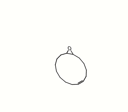 C1=CCCCCC2OC2CCCCCCC1